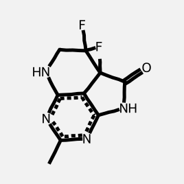 Cc1nc2c3c(n1)NC(=O)C3(C)C(F)(F)CN2